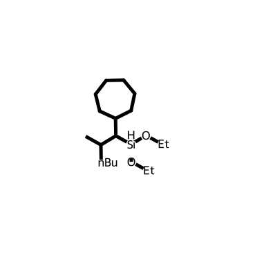 CCCCC(C)C(C1CCCCCC1)[SiH](OCC)OCC